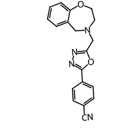 N#Cc1ccc(-c2nnc(CN3CCOc4ccccc4C3)o2)cc1